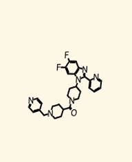 O=C(C1CCN(Cc2ccncc2)CC1)N1CCC(n2c(-c3ccccn3)nc3cc(F)c(F)cc32)CC1